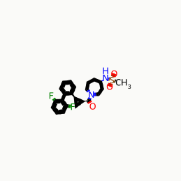 CS(=O)(=O)N[C@H]1CCCN(C(=O)[C@@H]2C[C@H]2c2ccccc2-c2c(F)cccc2F)CC1